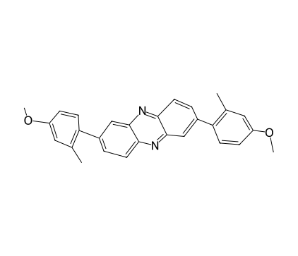 COc1ccc(-c2ccc3nc4cc(-c5ccc(OC)cc5C)ccc4nc3c2)c(C)c1